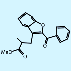 COC(=O)C(C)Cc1c(C(=O)c2ccccc2)oc2ccccc12